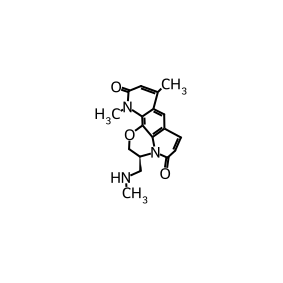 CNC[C@H]1COc2c3c(cc4ccc(=O)n1c24)c(C)cc(=O)n3C